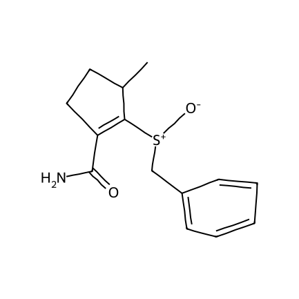 CC1CCC(C(N)=O)=C1[S+]([O-])Cc1ccccc1